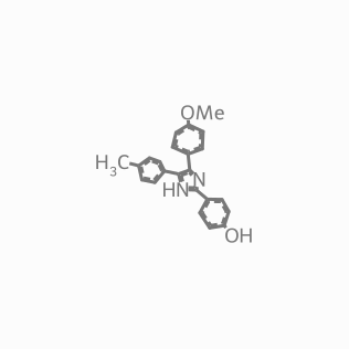 COc1ccc(-c2nc(-c3ccc(O)cc3)[nH]c2-c2ccc(C)cc2)cc1